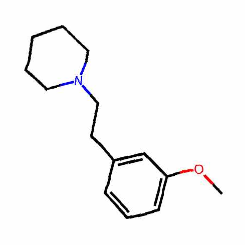 COc1cccc(CCN2CCCCC2)c1